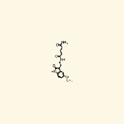 COc1ccc2c(c1)C(CCNC(=O)CCCC(N)=O)C(=O)N2